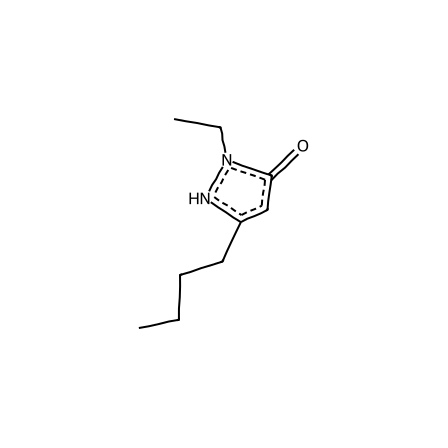 CCCCc1cc(=O)n(CC)[nH]1